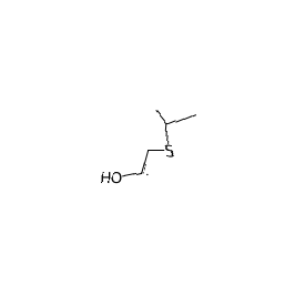 CC(C)SC[CH]O